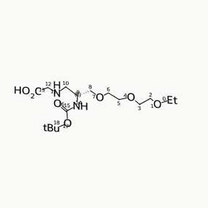 CCOCCOCCOC[C@@H](CNCC(=O)O)NC(=O)OC(C)(C)C